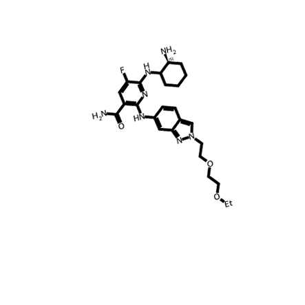 CCOCCOCCn1cc2ccc(Nc3nc(NC4CCCC[C@@H]4N)c(F)cc3C(N)=O)cc2n1